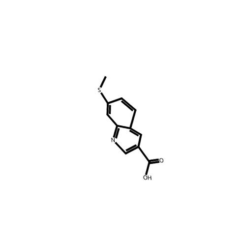 CSc1ccc2cc(C(=O)O)cnc2c1